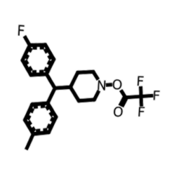 Cc1ccc(C(c2ccc(F)cc2)C2CCN(OC(=O)C(F)(F)F)CC2)cc1